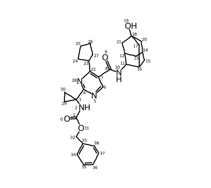 O=C(NC1(c2ncc(C(=O)NC3C4CC5CC3CC(O)(C5)C4)c(C3CCCC3)n2)CC1)OCc1ccccc1